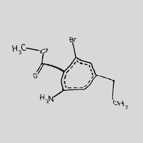 CCc1cc(N)c(C(=O)OC)c(Br)c1